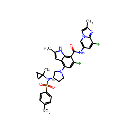 Cc1cn2cc(NC(=O)c3c(F)cc(N4CC[C@@H](N(C5(C#N)CC5)S(=O)(=O)c5ccc([N+](=O)[O-])cc5)C4)c4cc(C)[nH]c34)cc(F)c2n1